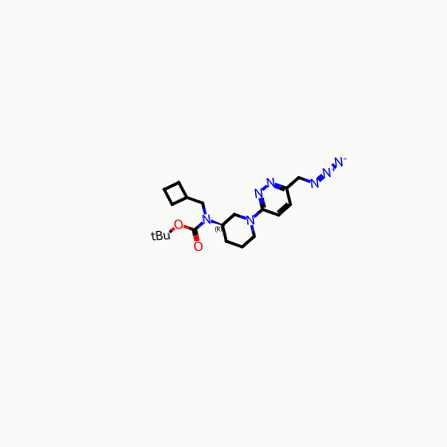 CC(C)(C)OC(=O)N(CC1CCC1)[C@@H]1CCCN(c2ccc(CN=[N+]=[N-])nn2)C1